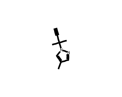 C#CC(C)(C)n1cc(C)cn1